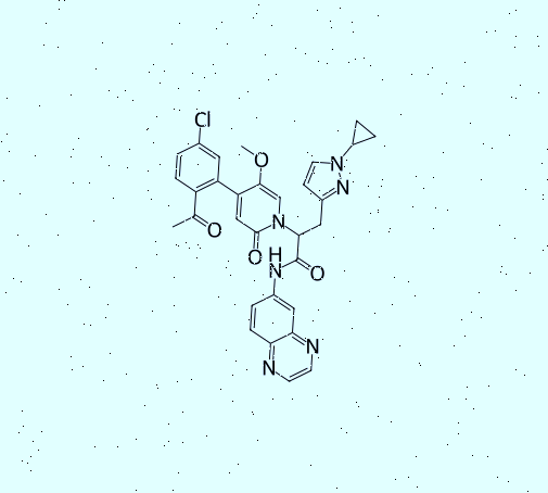 COc1cn(C(Cc2ccn(C3CC3)n2)C(=O)Nc2ccc3nccnc3c2)c(=O)cc1-c1cc(Cl)ccc1C(C)=O